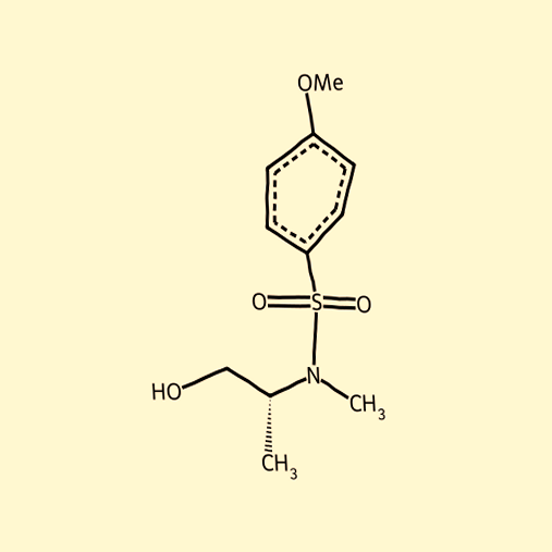 COc1ccc(S(=O)(=O)N(C)[C@H](C)CO)cc1